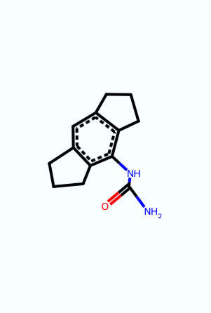 NC(=O)Nc1c2c(cc3c1CCC3)CCC2